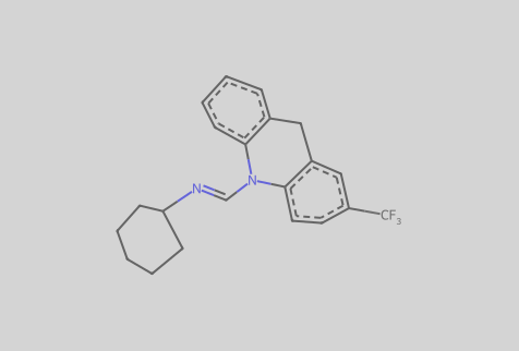 FC(F)(F)c1ccc2c(c1)Cc1ccccc1N2C=NC1CCCCC1